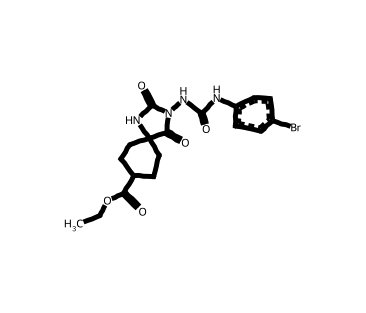 CCOC(=O)C1CCC2(CC1)NC(=O)N(NC(=O)Nc1ccc(Br)cc1)C2=O